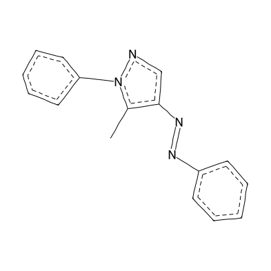 Cc1c(N=Nc2ccccc2)cnn1-c1ccccc1